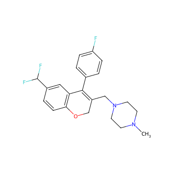 CN1CCN(CC2=C(c3ccc(F)cc3)c3cc(C(F)F)ccc3OC2)CC1